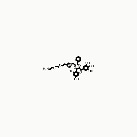 NCCOCCOCCc1cn(CCOC2c3c(O)cc(O)cc3OC(c3cc(O)c(O)c(O)c3)C2OCc2ccccc2)nn1